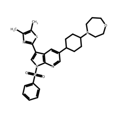 Cc1nc(-c2cn(S(=O)(=O)c3ccccc3)c3ncc(C4CCC(N5CCCOCC5)CC4)cc23)sc1C